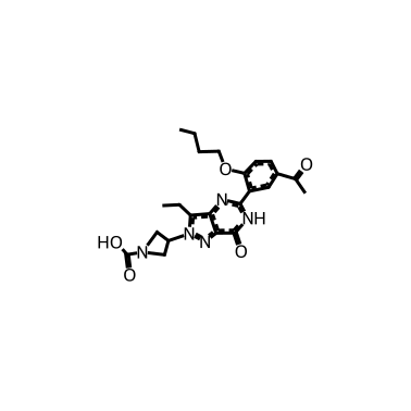 CCCCOc1ccc(C(C)=O)cc1-c1nc2c(CC)n(C3CN(C(=O)O)C3)nc2c(=O)[nH]1